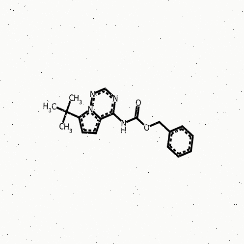 CC(C)(C)c1ccc2c(NC(=O)OCc3ccccc3)ncnn12